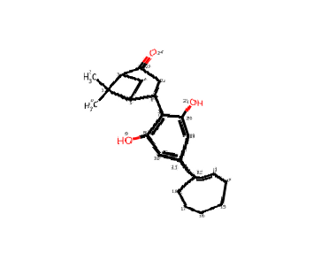 CC1(C)C2CC1C(c1c(O)cc(C3=CCCCCC3)cc1O)CC2=O